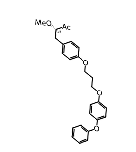 CO[C@@H](Cc1ccc(OCCCOc2ccc(Oc3ccccc3)cc2)cc1)C(C)=O